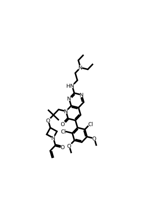 C=CC(=O)N1CC(OC(C)(C)Cn2c(=O)c(-c3c(Cl)c(OC)cc(OC)c3Cl)cc3cnc(NCCN(CC)CC)nc32)C1